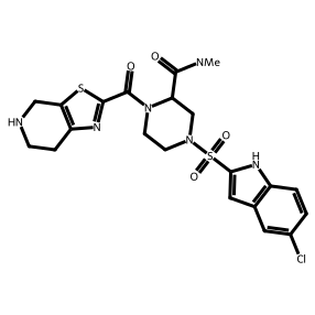 CNC(=O)C1CN(S(=O)(=O)c2cc3cc(Cl)ccc3[nH]2)CCN1C(=O)c1nc2c(s1)CNCC2